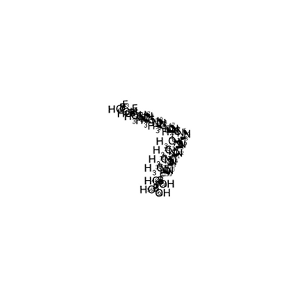 Cn1ccnc1.Cn1ccnc1.Cn1ccnc1.Cn1ccnc1.Cn1ccnc1.Cn1ccnc1.Cn1ccnc1.Cn1ccnc1.OB(O)F.OB(O)F.OB(O)F.OB(O)F